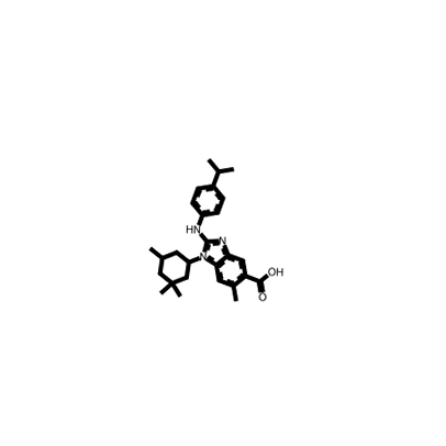 Cc1cc2c(cc1C(=O)O)nc(Nc1ccc(C(C)C)cc1)n2C1CC(C)CC(C)(C)C1